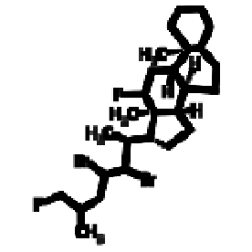 CC(CF)CC(Br)C(Br)[C@@H](C)[C@H]1CC[C@H]2[C@@H]3CCC4CCCC[C@]4(C)[C@H]3CC(F)[C@]12C